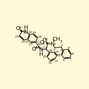 CN(CCc1ccccc1)C(=O)C(NS(=O)(=O)c1ccc2[nH]c(=O)ccc2c1)c1ccccc1